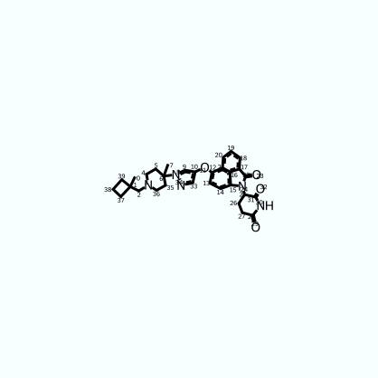 CC1(CN2CCC(C)(n3cc(Oc4ccc5c6c(cccc46)C(=O)N5C4CCC(=O)NC4=O)cn3)CC2)CCC1